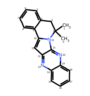 CC1(C)Cc2ccccc2-c2cc3nc4ccccc4nc3n21